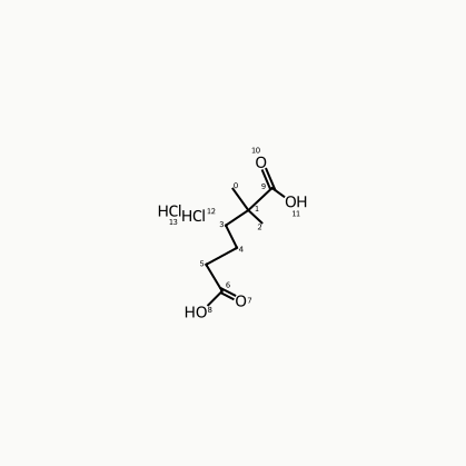 CC(C)(CCCC(=O)O)C(=O)O.Cl.Cl